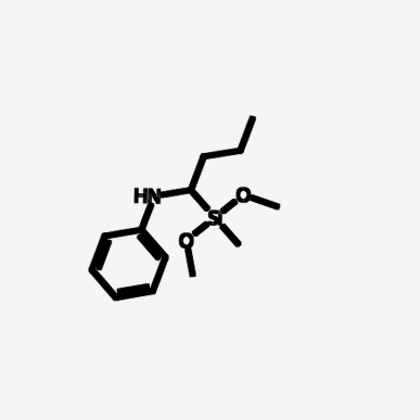 CCCC(Nc1ccccc1)[Si](C)(OC)OC